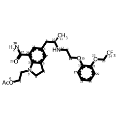 CC(=O)OCCN1CCc2cc(C[C@@H](C)NCCOc3ccccc3OCC(F)(F)F)cc(C(N)=O)c21